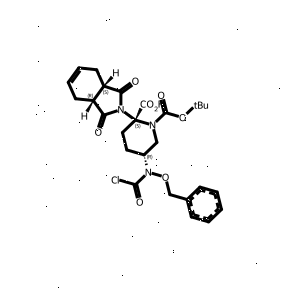 CC(C)(C)OC(=O)N1C[C@H](N(OCc2ccccc2)C(=O)Cl)CC[C@]1(C(=O)O)N1C(=O)[C@H]2CC=CC[C@H]2C1=O